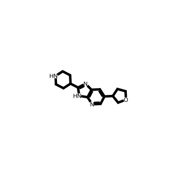 c1nc2[nH]c(C3CCNCC3)nc2cc1C1CCOC1